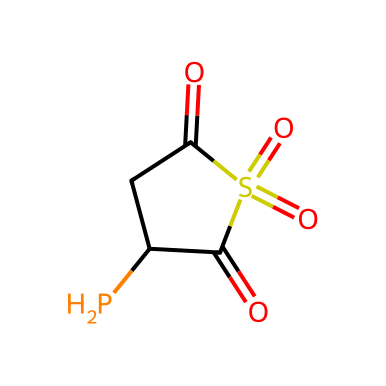 O=C1CC(P)C(=O)S1(=O)=O